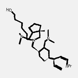 C=C[C@H](/C=C\CCC)[C@@H]1CC[C@@H](CN(CCCCCCO)C[C@@]2(C)CCCC2CN(C)C)C(CN(C)C)C1